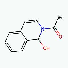 CC(C)C(=O)N1C=Cc2ccccc2C1O